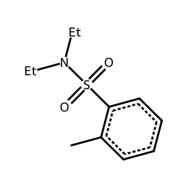 CCN(CC)S(=O)(=O)c1ccccc1C